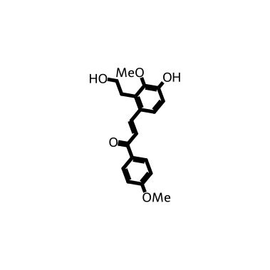 COc1ccc(C(=O)C=Cc2ccc(O)c(OC)c2CCO)cc1